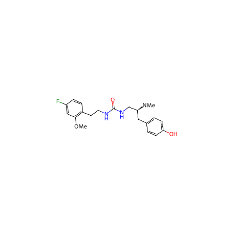 CN[C@H](CNC(=O)NCCc1ccc(F)cc1OC)Cc1ccc(O)cc1